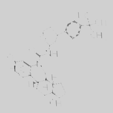 CC(C)(C)c1ccc(C2CCOC(NC(=O)N3C[C@H]4[C@@H]5CCC[C@@]5(C)CC[C@@H]4[C@@]4(C)CCC(=O)C=C34)C2)cc1